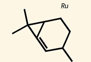 CC1C=C2C(CC1)C2(C)C.[Ru]